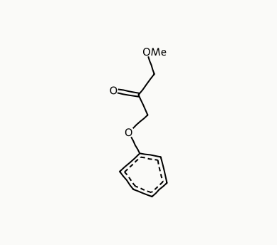 COCC(=O)COc1ccccc1